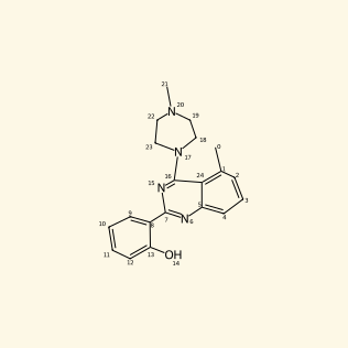 Cc1cccc2nc(-c3ccccc3O)nc(N3CCN(C)CC3)c12